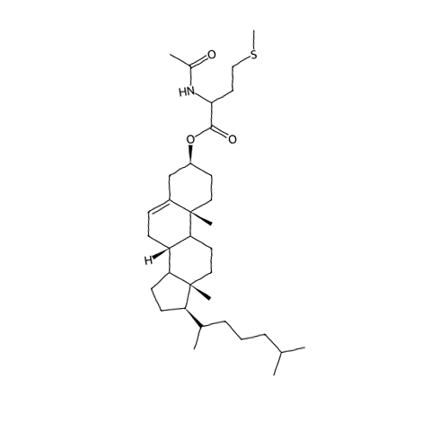 CSCCC(NC(C)=O)C(=O)O[C@H]1CC[C@@]2(C)C(=CC[C@@H]3C2CC[C@@]2(C)C3CC[C@@H]2C(C)CCCC(C)C)C1